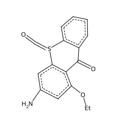 CCOc1cc(N)cc2c1C(=O)c1ccccc1S2=C=O